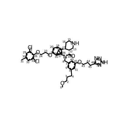 COCCCc1cc(CN(C(=O)[C@H]2CNCC[C@@H]2c2ccc(OCCOc3c(Cl)cc(C)cc3Cl)cc2)C2CC2)cc(OCCCc2nn[nH]n2)c1